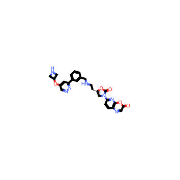 O=C1O[C@@H](CCNCc2cccc(-c3cc(OC4CNC4)cnn3)c2)CN1c1ccc2ncc(=O)oc2n1